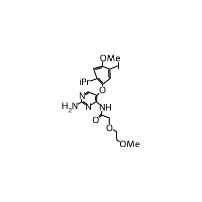 COCCOCC(=O)Nc1nc(N)ncc1Oc1cc(I)c(OC)cc1C(C)C